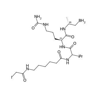 BC[C@@H](C)NC(=O)[C@H](CCCNC(N)=O)NC(=O)C(NC(=O)CCCCCNC(=O)CI)C(C)C